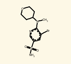 CN(c1ncc(S(N)(=O)=O)cc1Br)C1CCOCC1